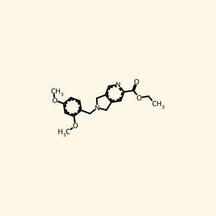 CCOC(=O)c1cc2c(cn1)CN(Cc1ccc(OC)cc1OC)C2